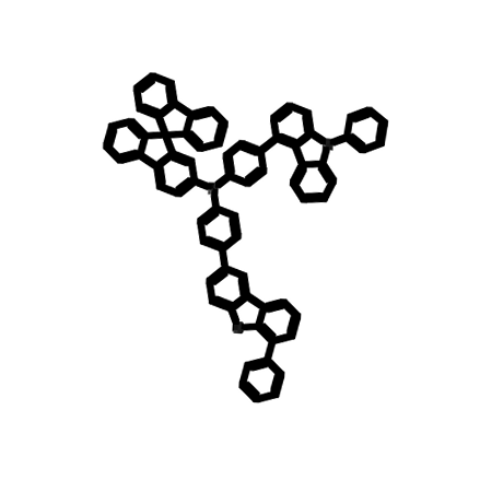 c1ccc(-c2cccc3c2oc2ccc(-c4ccc(N(c5ccc(-c6cccc7c6c6ccccc6n7-c6ccccc6)cc5)c5ccc6c(c5)C5(c7ccccc7-c7ccccc75)c5ccccc5-6)cc4)cc23)cc1